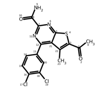 CC(=O)c1sc2nc(C(N)=O)nc(-c3ccc(Cl)c(Cl)c3)c2c1C